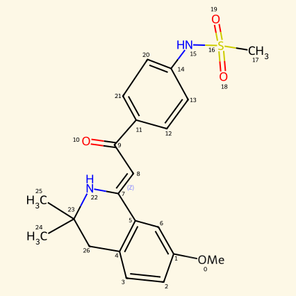 COc1ccc2c(c1)/C(=C/C(=O)c1ccc(NS(C)(=O)=O)cc1)NC(C)(C)C2